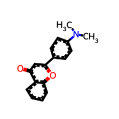 CN(C)c1ccc(-c2cc(=O)c3ccccc3o2)cc1